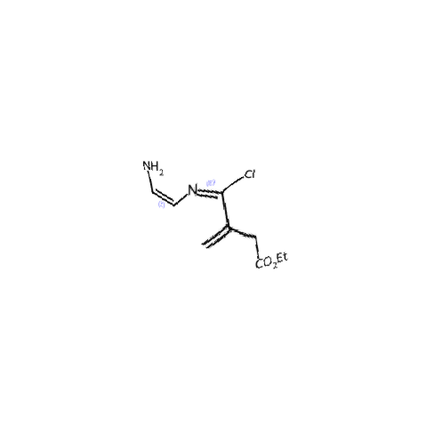 C=C(CC(=O)OCC)/C(Cl)=N\C=C/N